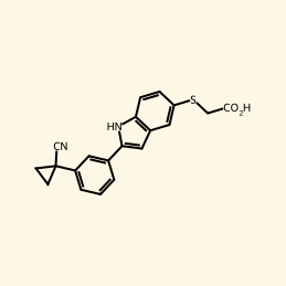 N#CC1(c2cccc(-c3cc4cc(SCC(=O)O)ccc4[nH]3)c2)CC1